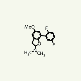 COc1cc2c(c(-c3cc(F)ccc3F)c1)OC(N(C)C)C2